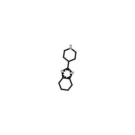 C1CCc2oc(C3CCNCC3)nc2C1